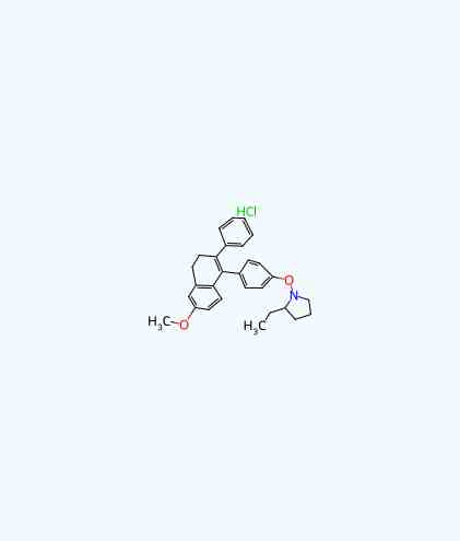 CCC1CCCN1Oc1ccc(C2=C(c3ccccc3)CCc3cc(OC)ccc32)cc1.Cl